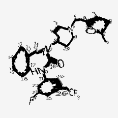 Cc1ccc(CN2CCC(N(Cc3ccccc3)C(=O)Nc3cc(F)cc(C(F)(F)F)c3)CC2)o1